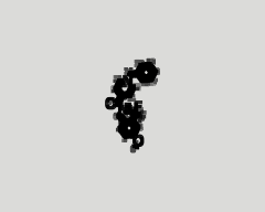 COc1ccc(CNC(=O)C2CCN(Cc3ccccc3)CC2)c(C(F)(F)F)c1